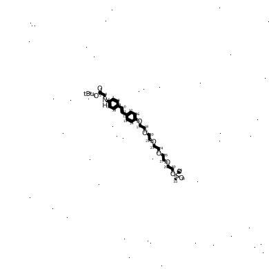 CC(C)(C)OC(=O)CNc1ccc(C=Cc2ccc(OCCOCCOCCOCCOCCOS(C)(=O)=O)cc2)cc1